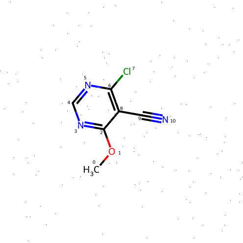 COc1ncnc(Cl)c1C#N